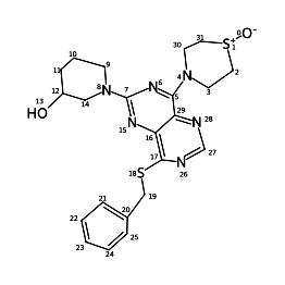 [O-][S+]1CCN(c2nc(N3CCCC(O)C3)nc3c(SCc4ccccc4)ncnc23)CC1